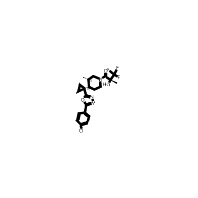 C[C@@H]1CN(C(=O)[C@@](C)(O)C(F)(F)F)CC[C@@H]1C1(c2nnc(-c3ccc(Cl)cc3)o2)CC1